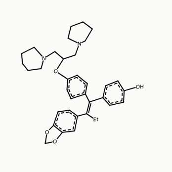 CCC(=C(c1ccc(O)cc1)c1ccc(OC(CN2CCCCC2)CN2CCCCC2)cc1)c1ccc2c(c1)OCO2